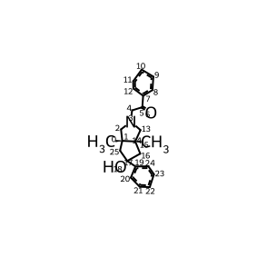 C[C@@]12CN(CC(=O)c3ccccc3)C[C@]1(C)C[C@@](O)(c1ccccc1)C2